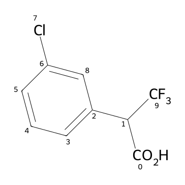 O=C(O)C(c1cccc(Cl)c1)C(F)(F)F